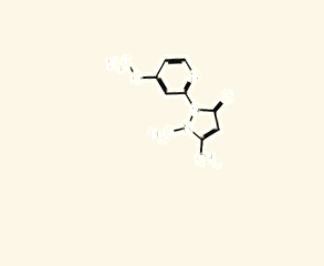 COc1ccnc(-n2c(=O)cc(C)n2C)c1